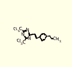 C=CCc1ccc(/C=C/c2nc(C(Cl)(Cl)Cl)nc(C(Cl)(Cl)Cl)n2)cc1